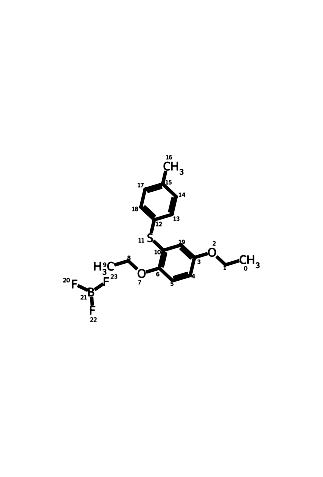 CCOc1ccc(OCC)c(Sc2ccc(C)cc2)c1.FB(F)F